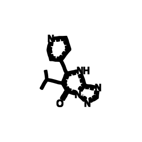 CC(C)c1c(-c2ccncc2)[nH]c2ncnn2c1=O